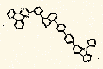 c1ccc(-n2c3ccccc3c3ccc(-c4ccc(-c5ccc(-c6cccc7c(-c8cccc(-c9cnc%10c%11ccccc%11c%11ccccc%11c%10n9)c8)cccc67)cc5)cc4)cc32)cc1